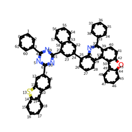 c1ccc(-c2nc(-c3ccc4c(c3)sc3ccccc34)nc(-c3cc(-c4cccc5c4nc(-c4ccccc4)c4ccc6oc7ccccc7c6c45)cc4ccccc34)n2)cc1